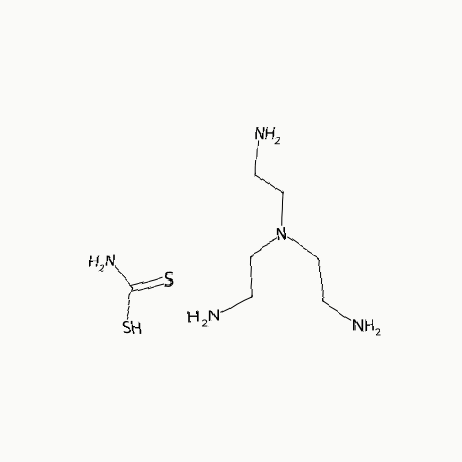 NC(=S)S.NCCN(CCN)CCN